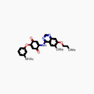 COCCOc1cc2ncnc(NC3=CC(=O)C(Oc4cccc(NC(C)=O)c4)=CC3=O)c2cc1OC